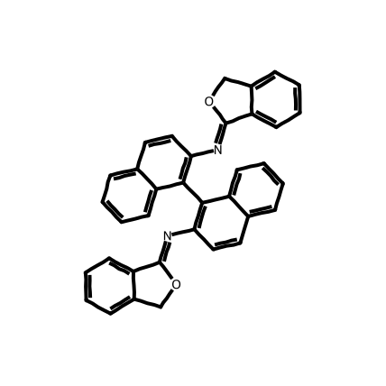 c1ccc2c(c1)CO/C2=N\c1ccc2ccccc2c1-c1c(/N=C2\OCc3ccccc32)ccc2ccccc12